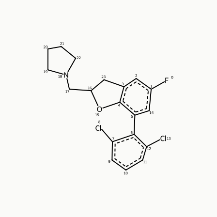 Fc1cc2c(c(-c3c(Cl)cccc3Cl)c1)OC(CN1CCCC1)C2